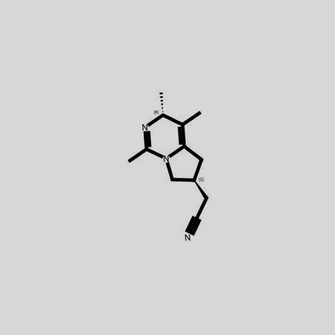 CC1=N[C@H](C)C(C)=C2C[C@@H](CC#N)CN12